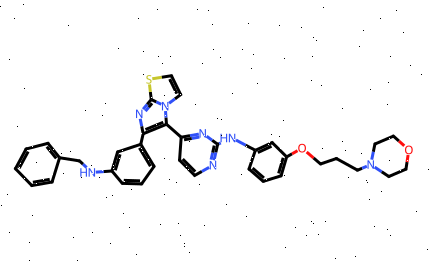 c1ccc(CNc2cccc(-c3nc4sccn4c3-c3ccnc(Nc4cccc(OCCCN5CCOCC5)c4)n3)c2)cc1